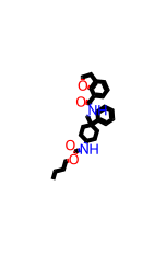 CCCCOC(=O)NC1CCC(CNC(=O)c2cccc3c2OCC3)(c2ccccc2)CC1